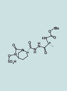 C[C@@H](NC(=O)OC(C)(C)C)C(=O)NNC(=O)[C@@H]1CCC2CN1C(=O)N2OS(=O)(=O)O